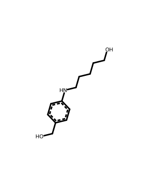 OCCCCCNc1ccc(CO)cc1